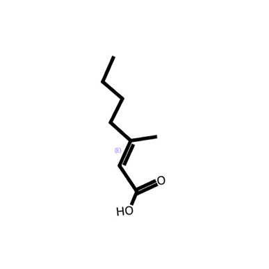 CCCC/C(C)=C/C(=O)O